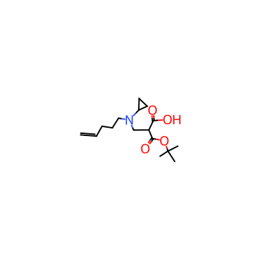 C=CCCCN(CC(C(=O)O)C(=O)OC(C)(C)C)C1CC1